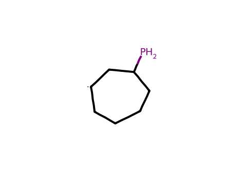 PC1C[CH]CCCC1